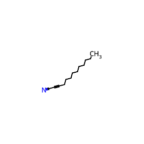 CCCCCCCCCCC#CC#N